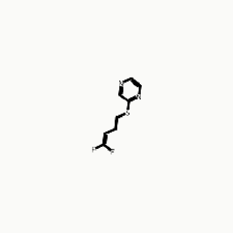 FC(F)=CCCSc1cnccn1